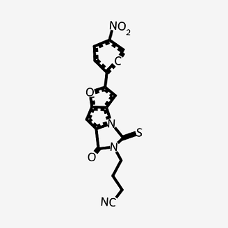 N#CCCCN1C(=O)c2cc3oc(-c4ccc([N+](=O)[O-])cc4)cc3n2C1=S